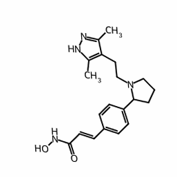 Cc1n[nH]c(C)c1CCN1CCCC1c1ccc(/C=C/C(=O)NO)cc1